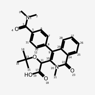 CN(C)C(=O)c1ccc(-c2c(C(OC(C)(C)C)C(=O)O)n(C)c(=O)c3ccccc23)cc1